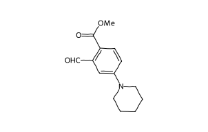 COC(=O)c1ccc(N2CCCCC2)cc1C=O